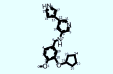 COc1ccc(CNc2cncc(-c3cc[nH]c3)c2)cc1OC1CCCC1